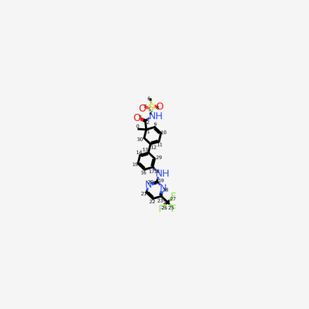 CC1(C(=O)NS(C)(=O)=O)C=CC=C(c2cccc(Nc3nccc(C(F)(F)F)n3)c2)C1